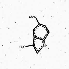 CNc1ccc2[nH]cc(C)c2c1